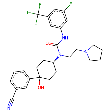 N#Cc1cccc([C@]2(O)CC[C@@H](N(CCN3CCCC3)C(=O)Nc3cc(F)cc(C(F)(F)F)c3)CC2)c1